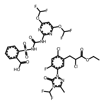 CCOC(=O)C(Cl)Cc1cc(-n2nc(C)n(C(F)F)c2=O)c(F)cc1Cl.O=C(Nc1nc(OC(F)F)cc(OC(F)F)n1)NS(=O)(=O)c1ccccc1C(=O)O